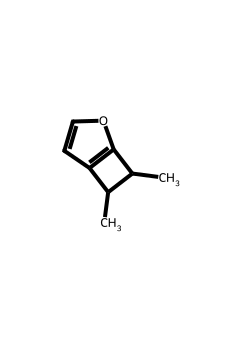 CC1c2ccoc2C1C